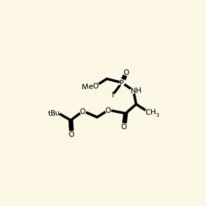 COCP(=O)(I)NC(C)C(=O)OCOC(=O)C(C)(C)C